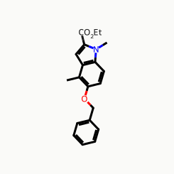 CCOC(=O)c1cc2c(C)c(OCc3ccccc3)ccc2n1C